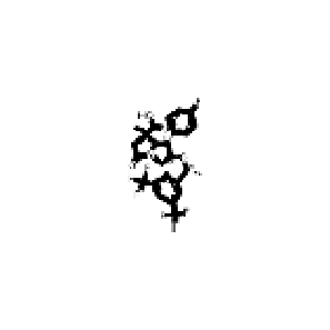 C[C@@H](O[C@H]1CN2C(=O)CC(C)(C(=O)O)C2[C@@H]1c1ccc(F)cc1)c1cc(C(F)(F)F)cc(C(F)(F)F)c1